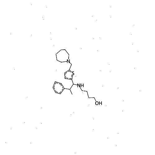 CC(c1ccccc1)C(NCCCCO)c1ccc(CN2CCCCCC2)s1